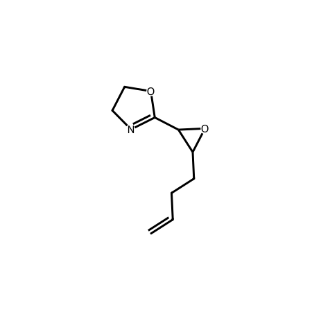 C=CCCC1OC1C1=NCCO1